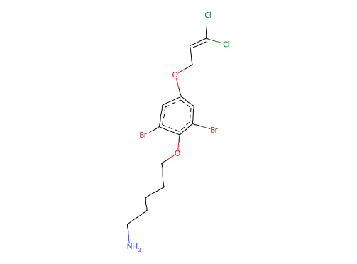 NCCCCCOc1c(Br)cc(OCC=C(Cl)Cl)cc1Br